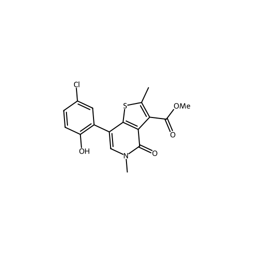 COC(=O)c1c(C)sc2c(-c3cc(Cl)ccc3O)cn(C)c(=O)c12